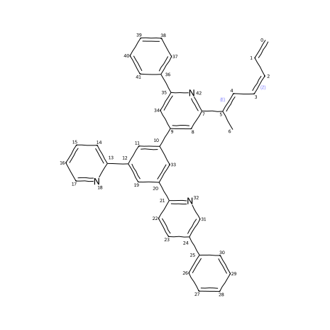 C=C/C=C\C=C(/C)c1cc(-c2cc(-c3ccccn3)cc(-c3ccc(-c4ccccc4)cn3)c2)cc(-c2ccccc2)n1